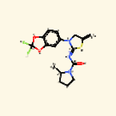 C=C1CN(c2ccc3c(c2)OC(F)(F)O3)/C(=N/C(=O)N2CCCC2C)S1